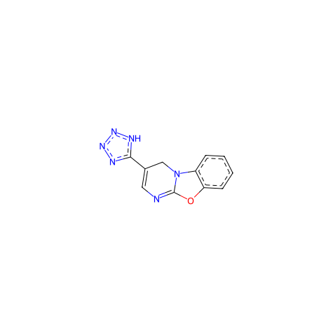 C1=C(c2nnn[nH]2)CN2C(=N1)Oc1ccccc12